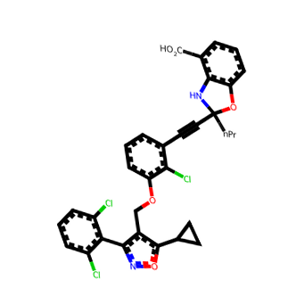 CCCC1(C#Cc2cccc(OCc3c(-c4c(Cl)cccc4Cl)noc3C3CC3)c2Cl)Nc2c(cccc2C(=O)O)O1